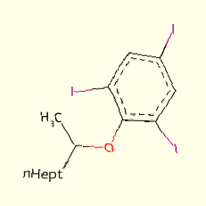 CCCCCCCC(C)Oc1c(I)cc(I)cc1I